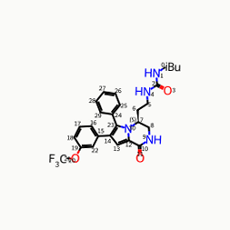 CCC(C)NC(=O)NCC[C@H]1CNC(=O)c2cc(-c3cccc(OC(F)(F)F)c3)c(-c3ccccc3)n21